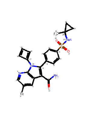 CCc1cnc2c(c1)c(C(N)=O)c(-c1ccc(S(=O)(=O)NC3(C(F)(F)F)CC3)cc1)n2C1=CC=C1